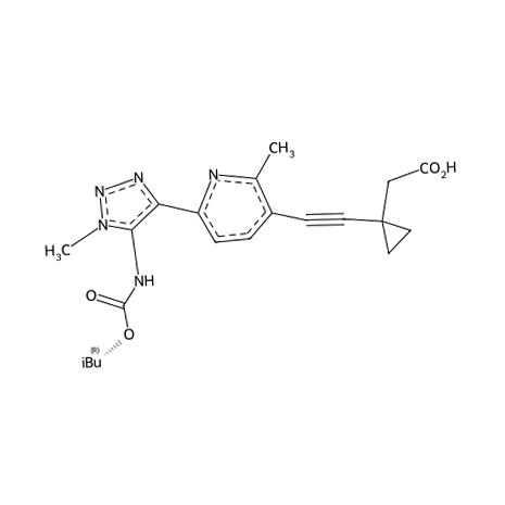 CC[C@@H](C)OC(=O)Nc1c(-c2ccc(C#CC3(CC(=O)O)CC3)c(C)n2)nnn1C